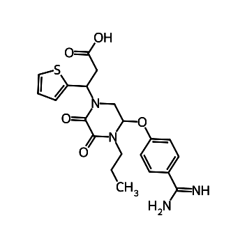 CCCN1C(=O)C(=O)N(C(CC(=O)O)c2cccs2)CC1Oc1ccc(C(=N)N)cc1